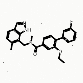 CCOc1cc(C(=O)N(C)Cc2c(C)ccc3cn[nH]c23)ccc1-c1cccc(F)c1